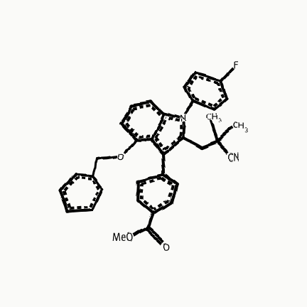 COC(=O)c1ccc(-c2c(CC(C)(C)C#N)n(-c3ccc(F)cc3)c3cccc(OCc4ccccc4)c23)cc1